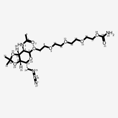 CC(=O)N[C@H]1C(OCCOCCOCCOCCOC(N)=O)O[C@H](CN=[N+]=[N-])[C@@H]2OC(C)(C)O[C@@H]21